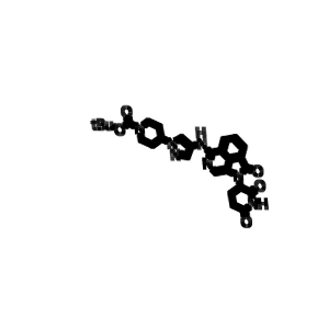 CC(C)(C)OC(=O)N1CCC(n2cc(Nc3ncc4c5c(cccc35)C(=O)N4C3CCC(=O)NC3=O)cn2)CC1